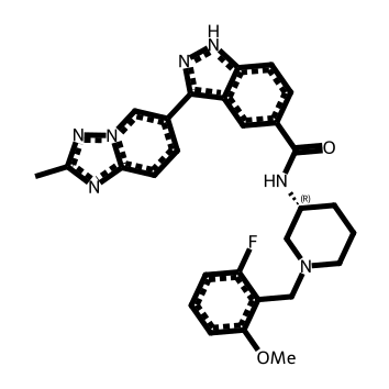 COc1cccc(F)c1CN1CCC[C@@H](NC(=O)c2ccc3[nH]nc(-c4ccc5nc(C)nn5c4)c3c2)C1